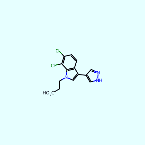 O=C(O)CCn1cc(-c2cn[nH]c2)c2ccc(Cl)c(Cl)c21